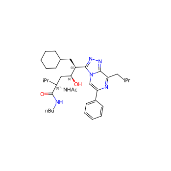 CCCCNC(=O)[C@@](C[C@H](O)[C@@H](CC1CCCCC1)c1nnc2c(CC(C)C)nc(-c3ccccc3)cn12)(NC(C)=O)C(C)C